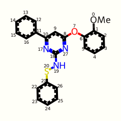 COc1ccccc1Oc1cc(-c2ccccc2)nc(NSc2ccccc2)n1